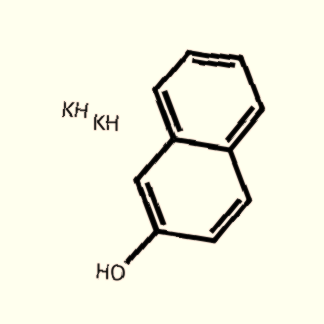 Oc1ccc2ccccc2c1.[KH].[KH]